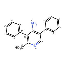 Nc1c(-c2ccccc2)cnc(C(=O)O)c1-c1ccccc1